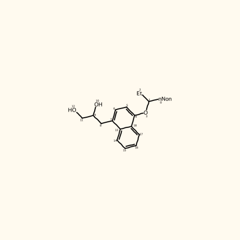 CCCCCCCCCC(CC)Oc1ccc(CC(O)CO)c2ccccc12